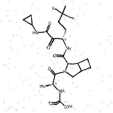 COC(=O)N[C@H](C(=O)N1CC2CCC2C1C(=O)N[C@@H](CCC(C)(F)F)C(=O)C(=O)NC1CC1)C(C)(C)C